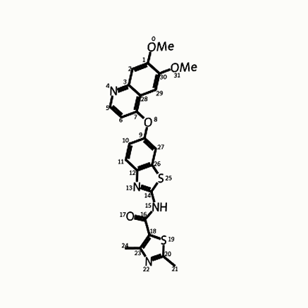 COc1cc2nccc(Oc3ccc4nc(NC(=O)c5sc(C)nc5C)sc4c3)c2cc1OC